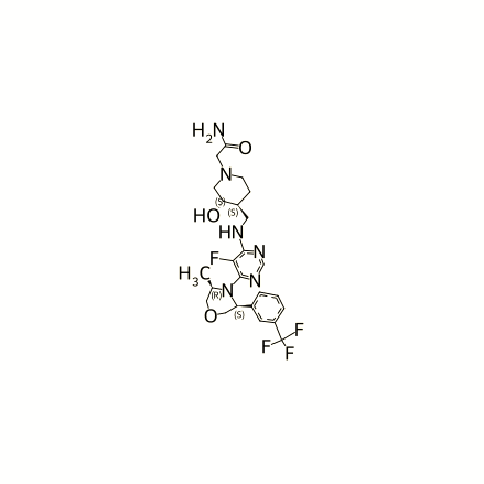 C[C@@H]1COC[C@H](c2cccc(C(F)(F)F)c2)N1c1ncnc(NC[C@@H]2CCN(CC(N)=O)C[C@H]2O)c1F